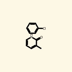 Cc1ccc[nH]c1=O.Clc1ccccc1